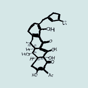 CCC1=CCC(Cc2ccc3c(c2O)C(=O)C2=C(O)[C@@]4(O)C(=O)C(C(C)=O)=C(O)C[C@H]4[C@H](O)[C@H]2[C@@H]3C)=C1